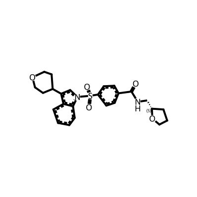 O=C(NC[C@@H]1CCCO1)c1ccc(S(=O)(=O)n2cc(C3CCOCC3)c3ccccc32)cc1